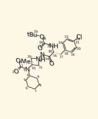 COC(=O)N(C1CCCCC1)C1CN(NC(=O)[C@@H](Cc2ccc(Cl)cc2)NC(=O)OC(C)(C)C)C1